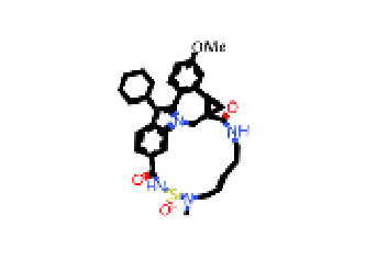 COc1ccc2c(c1)C1CC13Cn1c-2c(C2CCCCC2)c2ccc(cc21)C(=O)N[S+]([O-])N(C)C/C=C/CCNC3=O